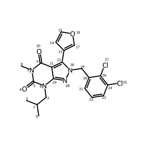 CC(C)Cn1c(=O)n(C)c(=O)c2c(-c3ccoc3)n(Cc3cccc(Cl)c3Cl)nc21